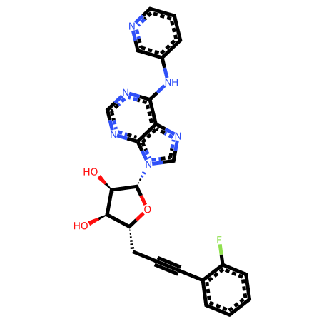 O[C@@H]1[C@H](O)[C@@H](CC#Cc2ccccc2F)O[C@H]1n1cnc2c(Nc3cccnc3)ncnc21